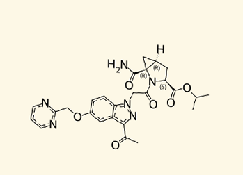 CC(=O)c1nn(CC(=O)N2[C@H](C(=O)OC(C)C)C[C@@H]3C[C@]32C(N)=O)c2ccc(OCc3ncccn3)cc12